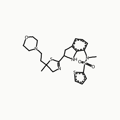 CN(c1cccc2c1NC(C1=NCC(C)(CCN3CCOCC3)S1)C2)S(=O)(=O)c1cccs1